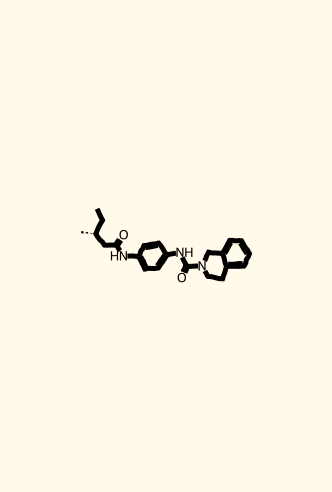 CC[C@@H](C)CC(=O)Nc1ccc(NC(=O)N2CCc3ccccc3C2)cc1